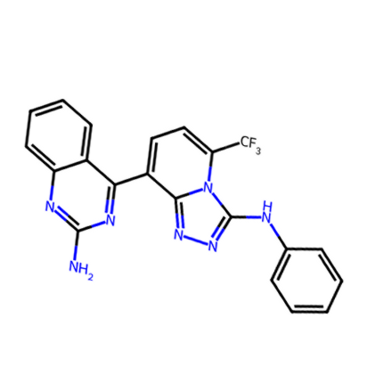 Nc1nc(-c2ccc(C(F)(F)F)n3c(Nc4ccccc4)nnc23)c2ccccc2n1